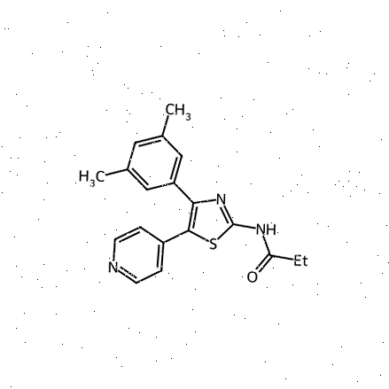 CCC(=O)Nc1nc(-c2cc(C)cc(C)c2)c(-c2ccncc2)s1